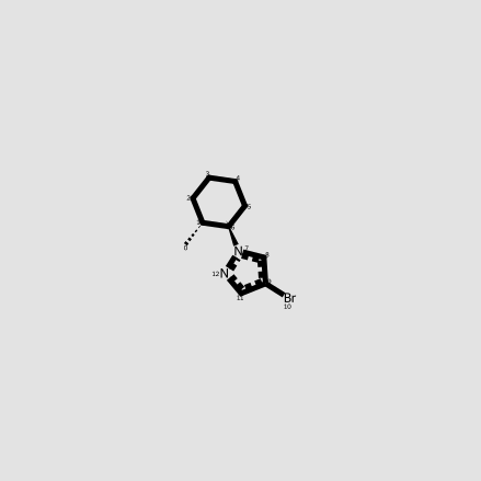 C[C@@H]1CCCC[C@H]1n1cc(Br)cn1